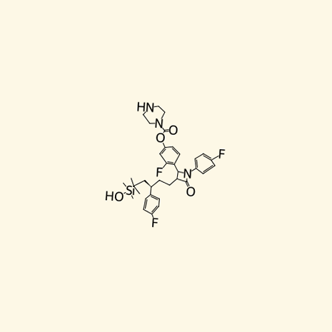 CC(C)(C[C@@H](CCC1C(=O)N(c2ccc(F)cc2)C1c1ccc(OC(=O)N2CCNCC2)cc1F)c1ccc(F)cc1)[Si](C)(C)O